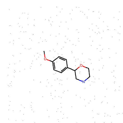 COc1ccc(C2C[N]CCO2)cc1